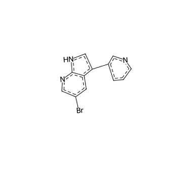 Brc1cnc2[nH]cc(-c3cccnc3)c2c1